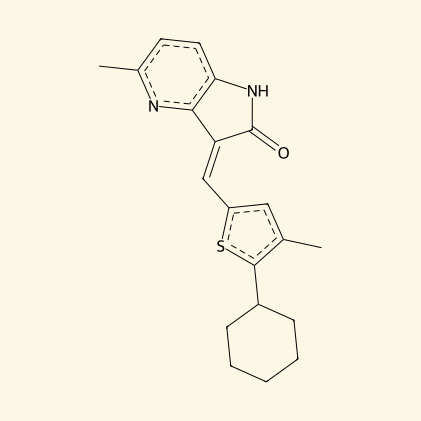 Cc1ccc2c(n1)C(=Cc1cc(C)c(C3CCCCC3)s1)C(=O)N2